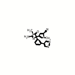 CN1C(=O)C(c2cccc(-c3cncnc3)c2)(c2cc(C#N)n(C)c2)N=C1N